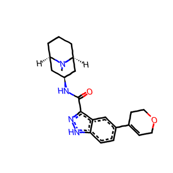 CN1[C@@H]2CCC[C@H]1C[C@@H](NC(=O)c1n[nH]c3ccc(C4=CCOCC4)cc13)C2